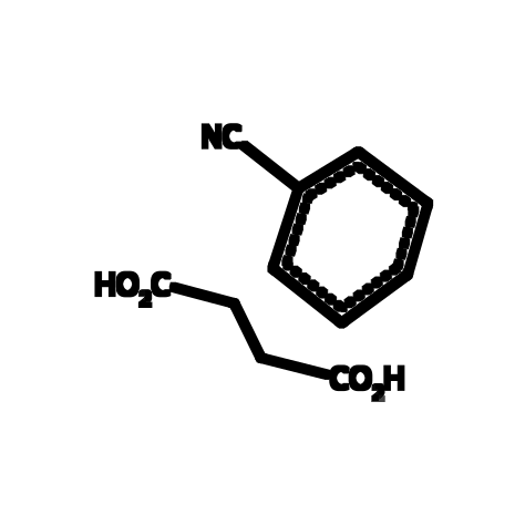 N#Cc1ccccc1.O=C(O)CCC(=O)O